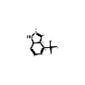 CC(C)(C)C1=CC=CC2NN=CC12